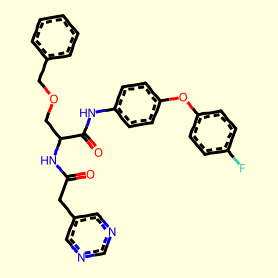 O=C(Cc1cncnc1)NC(COCc1ccccc1)C(=O)Nc1ccc(Oc2ccc(F)cc2)cc1